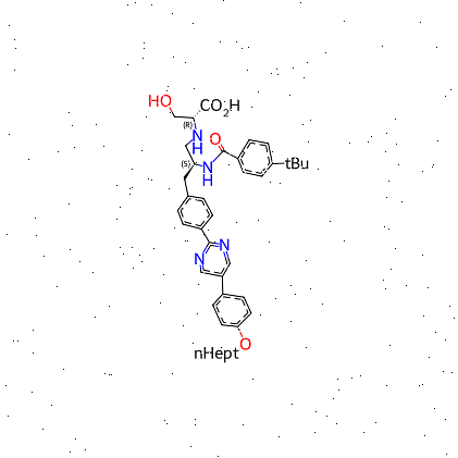 CCCCCCCOc1ccc(-c2cnc(-c3ccc(C[C@@H](CN[C@H](CO)C(=O)O)NC(=O)c4ccc(C(C)(C)C)cc4)cc3)nc2)cc1